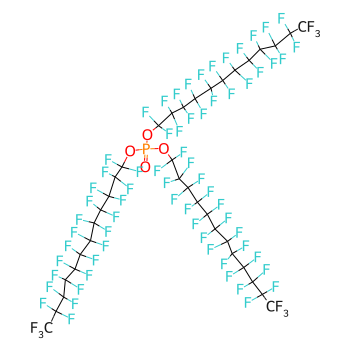 O=P(OC(F)(F)C(F)(F)C(F)(F)C(F)(F)C(F)(F)C(F)(F)C(F)(F)C(F)(F)C(F)(F)C(F)(F)C(F)(F)C(F)(F)F)(OC(F)(F)C(F)(F)C(F)(F)C(F)(F)C(F)(F)C(F)(F)C(F)(F)C(F)(F)C(F)(F)C(F)(F)C(F)(F)C(F)(F)F)OC(F)(F)C(F)(F)C(F)(F)C(F)(F)C(F)(F)C(F)(F)C(F)(F)C(F)(F)C(F)(F)C(F)(F)C(F)(F)C(F)(F)F